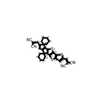 N#CC(C#N)=CC1=CC2=C(c3sc4c(sc5cc(C=C(C#N)C#N)sc54)c3C23CCCCC3)C12CCCCC2